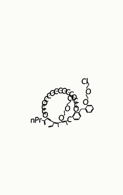 C=CC1=C(C)/C(OCCOCCCl)=C(\C)Cc2cccc(Cc3ccccc3OCCOCCCl)c2OCCOCCOCCOCCOCCO/C(C(=C)CCC)=C\1